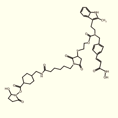 Cc1[nH]c2ccccc2c1CCN(Cc1ccc(/C=C/C(=O)NO)cc1)C(=O)OCCSC1CC(=O)N(CCCCCC(=O)NCC2CCC(C(=O)ON3C(=O)CCC3O)CC2)C1=O